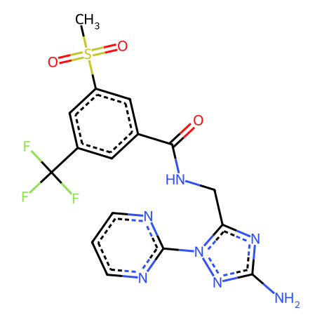 CS(=O)(=O)c1cc(C(=O)NCc2nc(N)nn2-c2ncccn2)cc(C(F)(F)F)c1